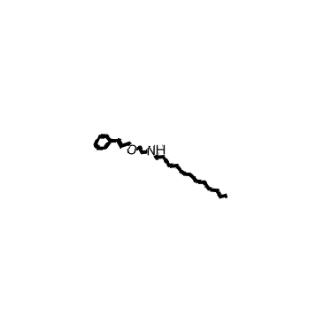 CCCCCCCCCCCCNCCOCC=Cc1ccccc1